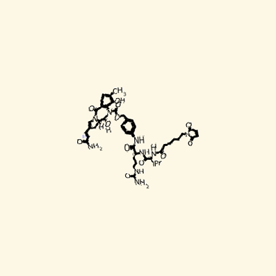 Cc1ccc2c(c1O)N(C(=O)OCc1ccc(NC(=O)[C@H](CCCNC(N)=O)NC(=O)[C@@H](NC(=O)CCCCCN3C(=O)C=CC3=O)C(C)C)cc1)[C@@H](O)[C@@H]1CC(/C=C/C(N)=O)=CN1C2=O